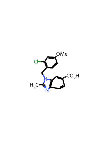 COc1ccc(Cn2c(C)nc3ccc(C(=O)O)cc32)c(Cl)c1